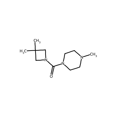 CN1CCN(C(=O)N2CC(C)(C)C2)CC1